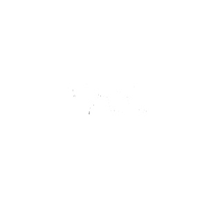 CC(C)[C@@H]1N(c2ccc(C#N)c(F)c2)CC[C@]1(C)O